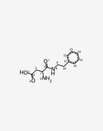 NC(CC(=O)O)C(=O)NCCc1ccccc1